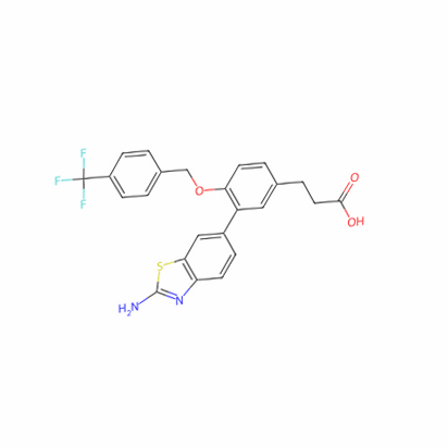 Nc1nc2ccc(-c3cc(CCC(=O)O)ccc3OCc3ccc(C(F)(F)F)cc3)cc2s1